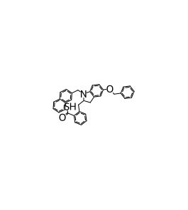 O=C(S)c1ccccc1CC1Cc2cc(OCc3ccccc3)ccc2N1Cc1ccc2ccccc2c1